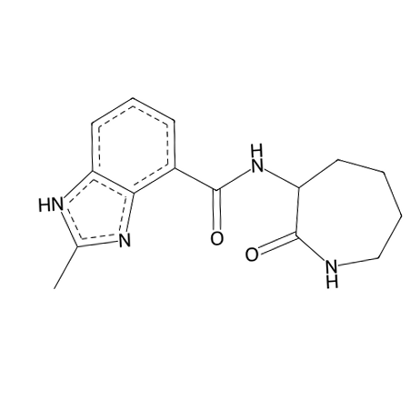 Cc1nc2c(C(=O)NC3CCCCNC3=O)cccc2[nH]1